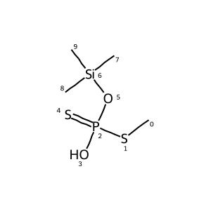 CSP(O)(=S)O[Si](C)(C)C